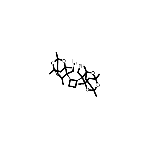 CC12CC3(C)OC(C)(CC(C)(O1)C3(CP)[C@@H]1CC[C@@H]1C1(CP)C3(C)CC4(C)OC(C)(CC1(C)O4)O3)O2